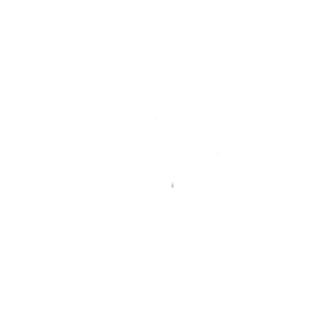 Cc1cc(C)cc(-c2nccc3ccc(C)cc23)c1